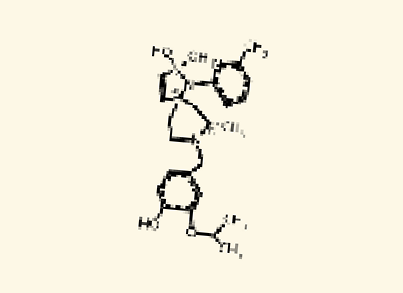 Cc1cccc(N2[C@]3(C=CS2(O)O)CCN(Cc2ccc(O)c(OC(C)C)c2)[C@@H](C)C3)n1